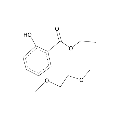 CCOC(=O)c1ccccc1O.COCCOC